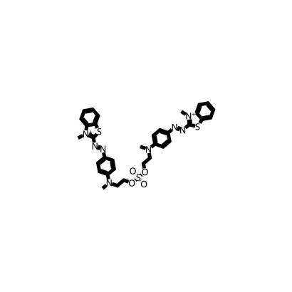 CN(CCOS(=O)(=O)OCCN(C)c1ccc(/N=N/c2sc3ccccc3[n+]2C)cc1)c1ccc(/N=N/c2sc3ccccc3[n+]2C)cc1